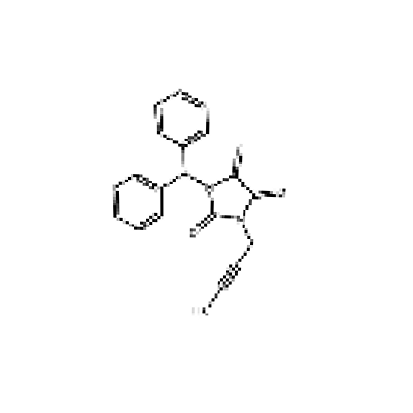 CC#CCN1C(=O)C(=O)N(C(c2ccccc2)c2ccccc2)C1=O